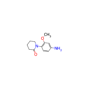 COc1cc(N)ccc1N1CCCCC1=O